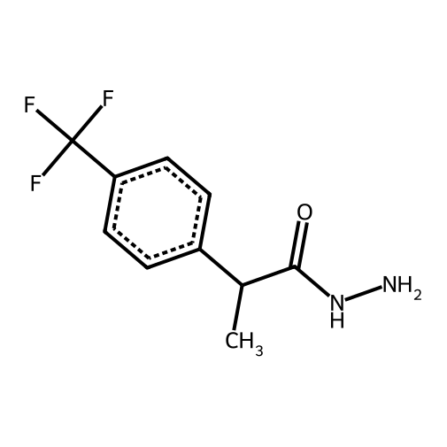 CC(C(=O)NN)c1ccc(C(F)(F)F)cc1